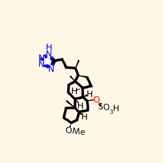 CO[C@@H]1CC[C@@]2(C)[C@@H](C1)C[C@H](OS(=O)(=O)O)[C@@H]1[C@@H]2CC[C@]2(C)[C@@H]([C@H](C)CCc3nnn[nH]3)CC[C@@H]12